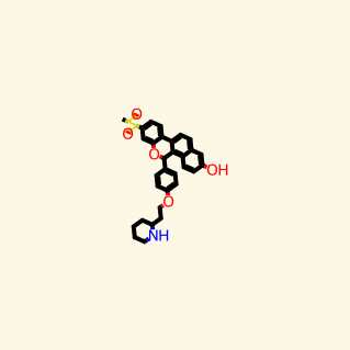 CS(=O)(=O)c1ccc2c(c1)OC(c1ccc(OCCC3CCCCN3)cc1)c1c-2ccc2cc(O)ccc12